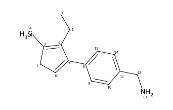 CCC1=C([SiH3])CC=C1c1ccc(CN)cc1